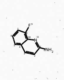 Nc1ccc2cccc(F)c2n1